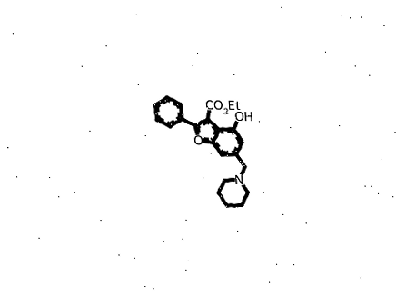 CCOC(=O)c1c(-c2ccccc2)oc2cc(CN3CCCCC3)cc(O)c12